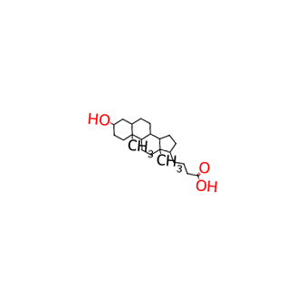 CC12CCC3C(CCC4CC(O)CCC43C)C1CCC2CCCC(=O)O